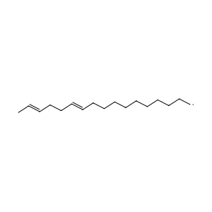 [CH2]CCCCCCCCC/C=C/CC/C=C/C